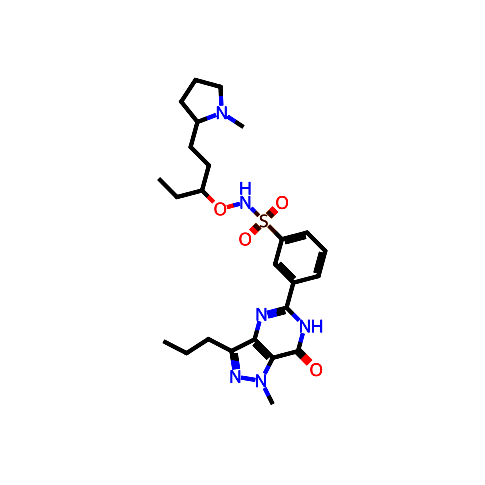 CCCc1nn(C)c2c(=O)[nH]c(-c3cccc(S(=O)(=O)NOC(CC)CCC4CCCN4C)c3)nc12